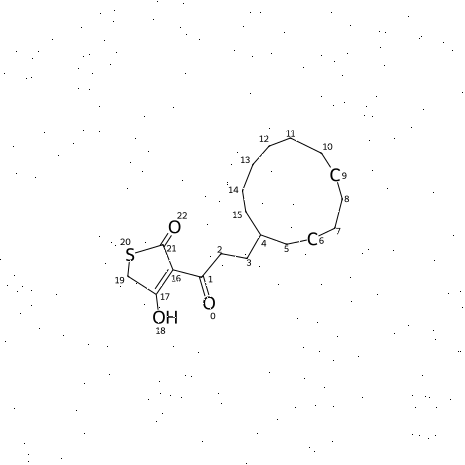 O=C(CCC1CCCCCCCCCCC1)C1=C(O)CSC1=O